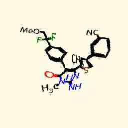 COCC(F)(F)c1ccc([C@@H]2C(=O)N(C)C(=N)N[C@]2(C)c2cc(-c3cccc(C#N)c3)cs2)cc1